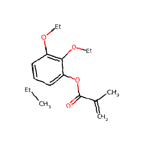 C=C(C)C(=O)Oc1cccc(OCC)c1OCC.CCC